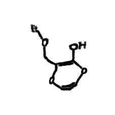 CCOCC1=C(O)OC=CO1